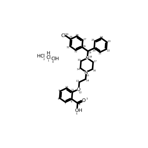 Cl.Cl.Cl.O=C(O)c1ccccc1OCCN1CCN(C(c2ccccc2)c2ccc(Cl)cc2)CC1